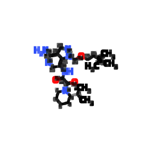 CC(C)[C@@H]1CCCCN1C(=O)C(=O)Nc1cnc(N)c2cnn(COCC[Si](C)(C)C)c12